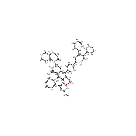 CC(C)(C)c1cc(-c2cccc3cccc(-c4ccccc4N(c4ccc(-c5ccc(-c6ccccc6)c(-c6ccccc6)c5)cc4)c4cccc(-c5cccc6ccccc56)c4)c23)cc(C(C)(C)C)c1